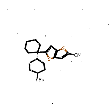 CCCC[C@H]1CC[C@H](C2(c3cc4sc(C#N)cc4s3)CCCCC2)CC1